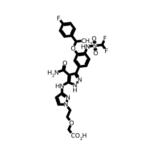 CC(Oc1cc(-c2n[nH]c(Nc3ccn(CCOCC(=O)O)n3)c2C(N)=O)ccc1NS(=O)(=O)C(F)F)c1ccc(F)cc1